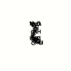 CN1CCN(C(c2ccccc2)C2CCC(NC(=O)COC3CCCN(S(=O)(=O)c4c(Cl)cc(Cl)cc4Cl)C3)CC2)CC1